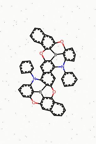 c1ccc(N2c3cccc4c3B3c5c(cc6ccccc6c5Oc5cc6c7c8c(cc6c2c53)Oc2c3c(cc5ccccc25)Oc2cccc(c2B38)N7c2ccccc2)O4)cc1